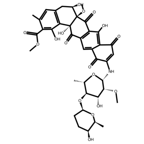 COC(=O)c1c(C)cc2c(c1O)[C@]1(O)C(=O)c3cc4c(c(O)c3C(=O)[C@@]1(OC)[C@H](O)C2)C(=O)C=C(N[C@H]1O[C@@H](C)[C@H](O[C@@H]2CC[C@H](O)[C@H](C)O2)[C@@H](O)[C@H]1OC)C4=O